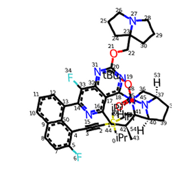 CC(C)S(C#Cc1c(F)ccc2cccc(-c3nc4c5c(nc(OCC67CCCN6CCC7)nc5c3F)N3C[C@H]5CC[C@@H]([C@@H]3[C@@H](C)C4)N5C(=O)OC(C)(C)C)c12)(C(C)C)C(C)C